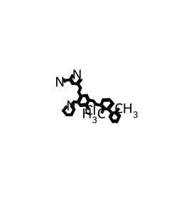 Cc1ccccc1-c1cccc(CCc2cc(CCc3cncc(C#N)c3)c(CN3CCCCC3)cc2Cl)c1C